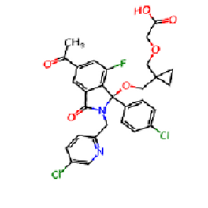 CC(=O)c1cc(F)c2c(c1)C(=O)N(Cc1ccc(Cl)cn1)[C@@]2(OCC1(COCC(=O)O)CC1)c1ccc(Cl)cc1